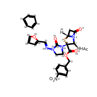 CC(=O)NC1N2C(=O)C[C@H]2S[C@]1(C(=O)OCc1ccc([N+](=O)[O-])cc1)N1CCN(N=Cc2ccco2)C1=O.c1ccccc1